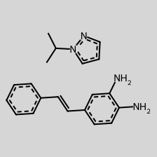 CC(C)n1cccn1.Nc1ccc(C=Cc2ccccc2)cc1N